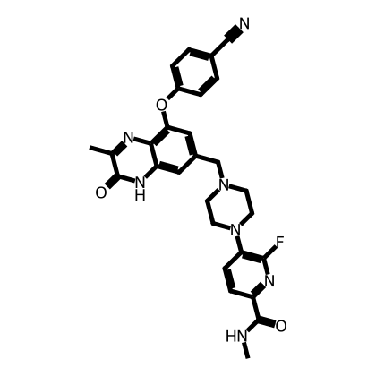 CNC(=O)c1ccc(N2CCN(Cc3cc(Oc4ccc(C#N)cc4)c4nc(C)c(=O)[nH]c4c3)CC2)c(F)n1